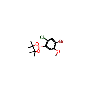 COc1cc(B2OC(C)(C)C(C)(C)O2)c(Cl)cc1Br